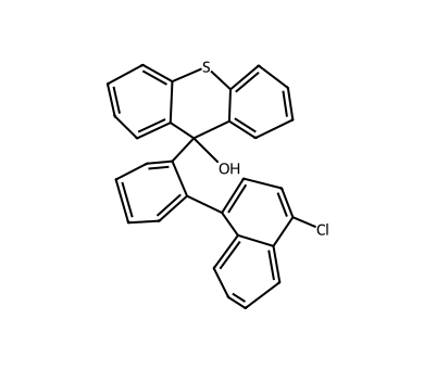 OC1(c2ccccc2-c2ccc(Cl)c3ccccc23)c2ccccc2Sc2ccccc21